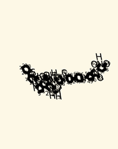 [2H]C([2H])([2H])n1cc(-c2ccnc(N3CCc4c(sc5c4CCCC5)C3=O)c2COP(=O)(O)O)cc(Nc2ccc(N3CCN(C4CCN(c5ccc6c(c5)CN([C@H]5CCC(=O)NC5=O)C6=O)CC4)C[C@@H]3C)cn2)c1=O